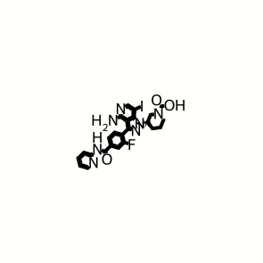 Nc1ncc(I)c2c1c(-c1ccc(C(=O)Nc3ccccn3)cc1F)nn2[C@@H]1CCCN(C(=O)O)C1